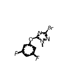 Cn1nc(Br)nc1Oc1cc(F)cc(F)c1